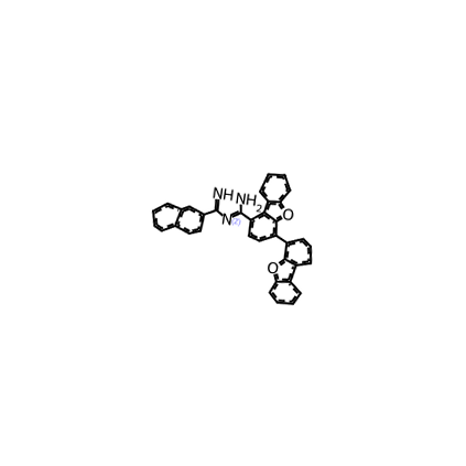 N=C(/N=C(\N)c1ccc(-c2cccc3c2oc2ccccc23)c2oc3ccccc3c12)c1ccc2ccccc2c1